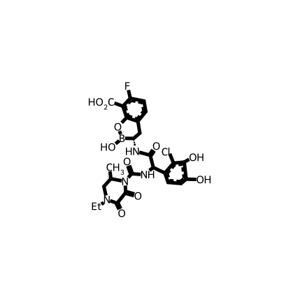 CCN1CC(C)N(C(=O)NC(C(=O)N[C@H]2Cc3ccc(F)c(C(=O)O)c3OB2O)c2ccc(O)c(O)c2Cl)C(=O)C1=O